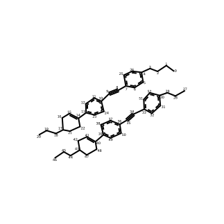 CCCCc1ccc(C#Cc2ccc(C3=CCC(CCC)CC3)cc2)cc1.CCCc1ccc(C#Cc2ccc(C3=CCC(CCC)CC3)cc2)cc1